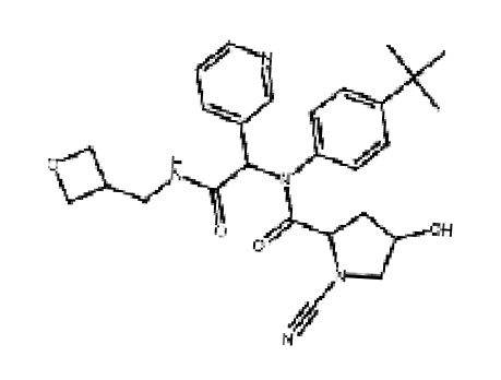 CC(C)(C)c1ccc(N(C(=O)C2CC(O)CN2C#N)C(C(=O)NCC2COC2)c2cccnc2)cc1